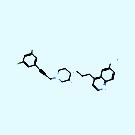 COc1ccc2nccc([C@@H](F)CC[C@@H]3CCN(CC#Cc4cc(Cl)cc(Cl)c4)C[C@@H]3C(=O)O)c2c1